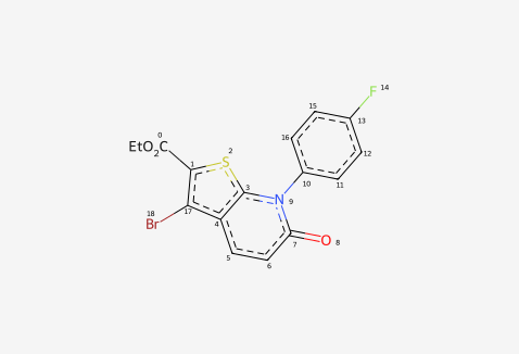 CCOC(=O)c1sc2c(ccc(=O)n2-c2ccc(F)cc2)c1Br